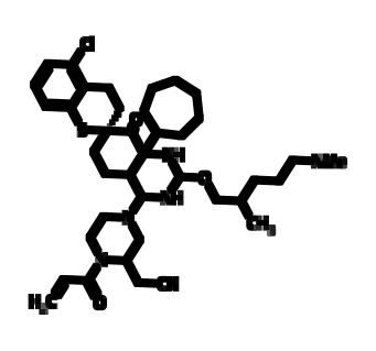 C=CC(=O)N1CCN(C2NC(OCC(C)CCCNC)NC3(C4CCCCCC4)C(=O)[C@@]4(CCc5c(Cl)cccc5S4)CCC23)CC1CC#N